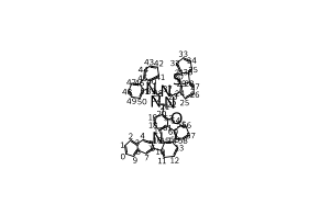 c1ccc2cc3c(cc2c1)c1ccccc1n3-c1ccc(-c2nc(-c3cccc4c3sc3ccccc34)nc(-n3c4ccccc4c4ccccc43)n2)c2oc3ccccc3c12